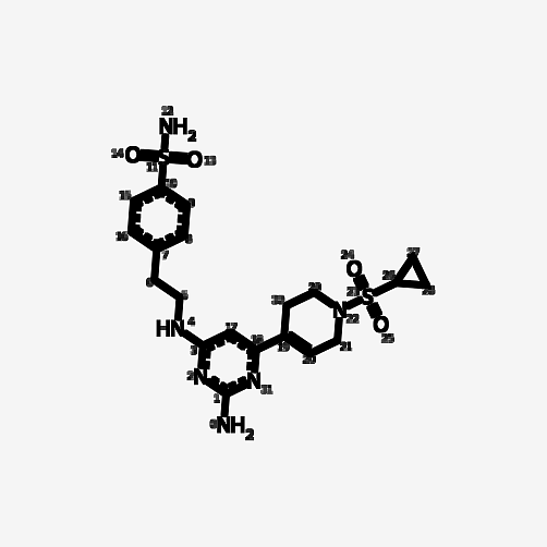 Nc1nc(NCCc2ccc(S(N)(=O)=O)cc2)cc(C2=CCN(S(=O)(=O)C3CC3)CC2)n1